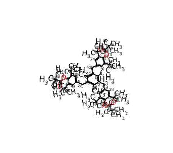 Cc1c(Cc2cc(C(C)(C)C)c(OC(=O)C(C)(C)C)c(C(C)(C)C)c2)c(C)c(Cc2cc(C(C)(C)C)c(OC(=O)C(C)(C)C)c(C(C)(C)C)c2)c(C)c1Cc1cc(C(C)(C)C)c(OC(=O)C(C)(C)C)c(C(C)(C)C)c1